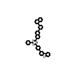 c1ccc(-c2nc(-c3ccc(-c4ccc5oc6ccccc6c5c4)cc3)nc(-c3ccc4cc(-c5cccc(-c6cccc7ccccc67)c5)ccc4c3)n2)cc1